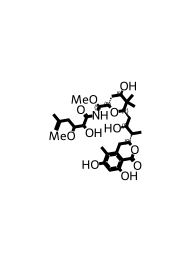 C=C(C)CC(OC)C(O)C(=O)N[C@@H](OC)[C@@H]1C[C@@H](O)C(C)(C)[C@@H](C[C@H](O)C(C)[C@H]2Cc3c(C)c(O)cc(O)c3C(=O)O2)O1